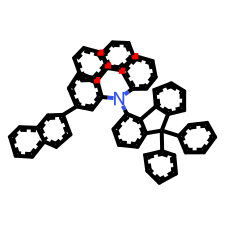 c1ccc(-c2ccccc2N(c2cc(-c3ccc4ccccc4c3)ccc2-c2ccccc2)c2cccc3c2-c2ccccc2C3(c2ccccc2)c2ccccc2)cc1